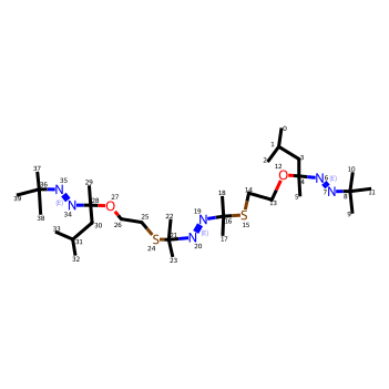 CC(C)CC(C)(/N=N/C(C)(C)C)OCCSC(C)(C)/N=N/C(C)(C)SCCOC(C)(CC(C)C)/N=N/C(C)(C)C